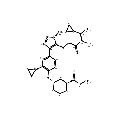 COC(=O)[C@H]1CCC[C@H](Oc2ccc(-c3nnn(C)c3COC(=O)N(C)C(C)C3CC3)nc2C2CC2)C1